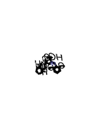 COc1cccc(OC)c1/C=C(\CC(=O)N1C[C@H]2CCCC[C@H]2C1)C(=O)O